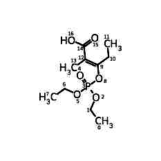 CCOP(=O)(OCC)OC(CC)=C(C)C(=O)O